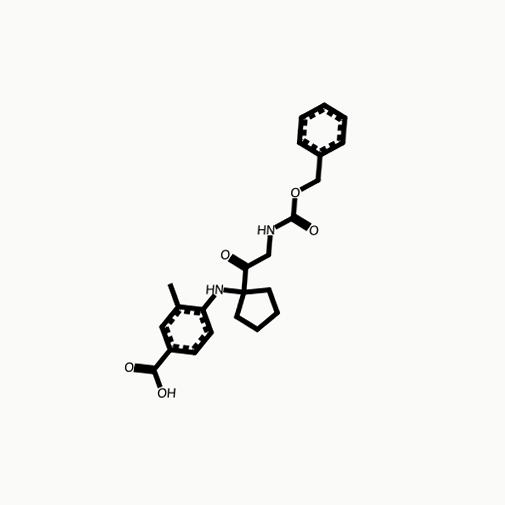 Cc1cc(C(=O)O)ccc1NC1(C(=O)CNC(=O)OCc2ccccc2)CCCC1